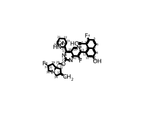 C#Cc1c(F)ccc2cc(O)cc(-c3ncc4c(N5CC6CCC5CN6)nc(OC[C@]56CC(=C)CN5C[C@@H](F)C6)nc4c3F)c12